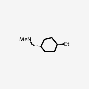 CC[C@H]1CC[C@H](CNC)CC1